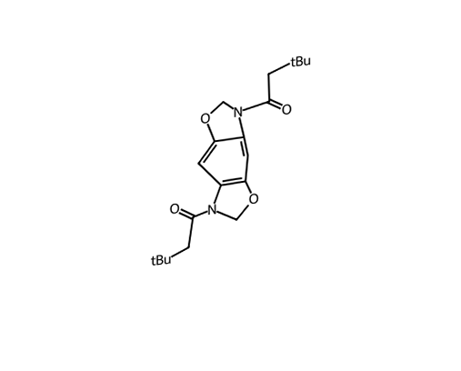 CC(C)(C)CC(=O)N1COc2cc3c(cc21)OCN3C(=O)CC(C)(C)C